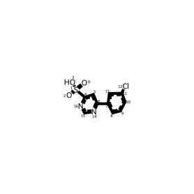 O=S(=O)(O)c1cc(-c2cccc(Cl)c2)ncn1